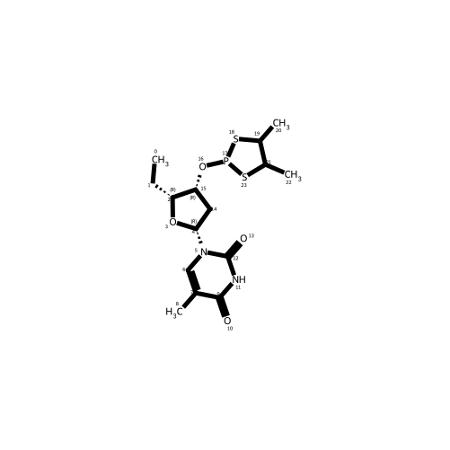 CC[C@H]1O[C@@H](n2cc(C)c(=O)[nH]c2=O)C[C@H]1OP1SC(C)C(C)S1